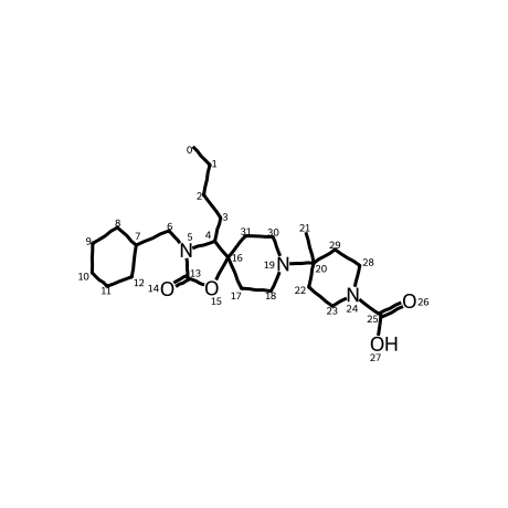 CCCCC1N(CC2CCCCC2)C(=O)OC12CCN(C1(C)CCN(C(=O)O)CC1)CC2